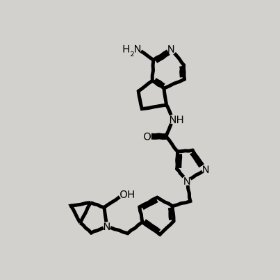 Nc1nccc2c1CCC2NC(=O)c1cnn(Cc2ccc(CN3CC4CC4C3O)cc2)c1